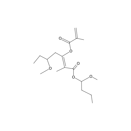 C=C(C)C(=O)OC(CC(CC)OC)=C(C)C(=O)OC(CCC)OC